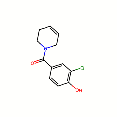 O=C(c1ccc(O)c(Cl)c1)N1CC=CCC1